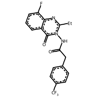 CCc1nc2c(F)cccc2c(=O)n1NC(=O)Cc1ccc(C(F)(F)F)cc1